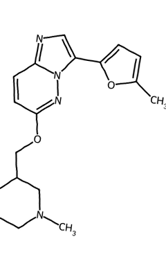 Cc1ccc(-c2cnc3ccc(OCC4CCCN(C)C4)nn23)o1